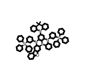 CC1(C)c2ccccc2N(c2cc3c4c(c2)N(c2cccc([Si](c5ccccc5)(c5ccccc5)c5ccccc5)c2)c2cc5c(cc2B4c2ccccc2N3c2cccc([Si](c3ccccc3)(c3ccccc3)c3ccccc3)c2)oc2ccccc25)c2ccccc21